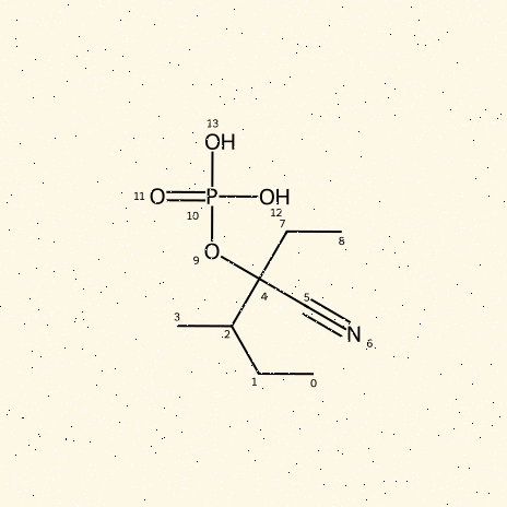 CCC(C)C(C#N)(CC)OP(=O)(O)O